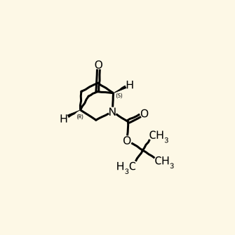 CC(C)(C)OC(=O)N1C[C@@H]2CC[C@H]1C(=O)C2